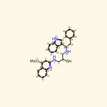 CCCC(CNc1cc(OC)c2ccccc2n1)CN[C@H](Cc1ccccc1)c1c[nH]c2ccccc12